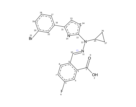 O=C(O)c1cc(F)ccc1/C=N/N(c1nc(-c2cccc(Br)c2)cs1)C1CC1